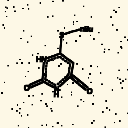 CCCCSc1cc(=O)[nH]c(=O)[nH]1